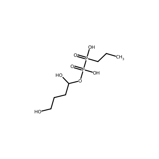 CCCP(=O)(O)P(=O)(O)OC(O)CCCO